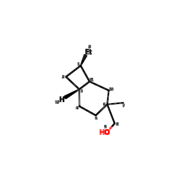 CC[C@@H]1C[C@H]2CCC(C)(CO)CC12